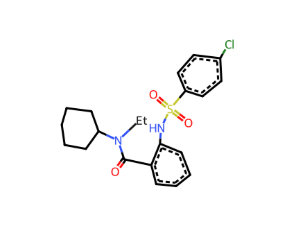 CCN(C(=O)c1ccccc1NS(=O)(=O)c1ccc(Cl)cc1)C1CCCCC1